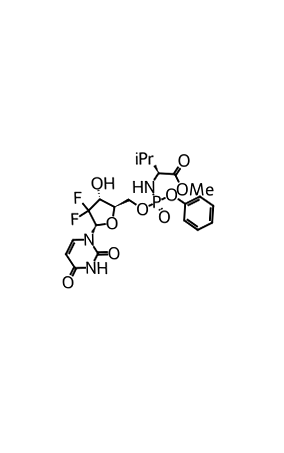 COC(=O)[C@@H](NP(=O)(OC[C@H]1O[C@@H](n2ccc(=O)[nH]c2=O)C(F)(F)[C@@H]1O)Oc1ccccc1)C(C)C